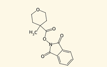 CC1(C(=O)ON2C(=O)c3ccccc3C2=O)CCOCC1